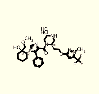 COC[C@]1(O)CCCC[C@H]1n1cnc(C(=O)N2CCNC[C@H]2CCOc2cc(C(F)(F)F)n(C)n2)c1-c1ccccc1.Cl.Cl